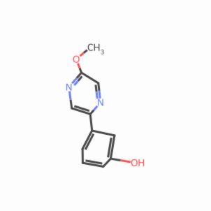 COc1cnc(-c2cccc(O)c2)cn1